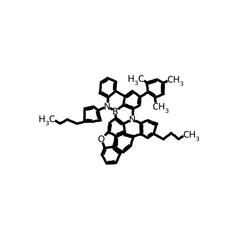 CCCCc1ccc(N2B3c4cc5oc6ccccc6c5cc4N(c4ccc(CCCC)cc4-c4ccccc4)c4cc(-c5c(C)cc(C)cc5C)cc(c43)-c3ccccc32)cc1